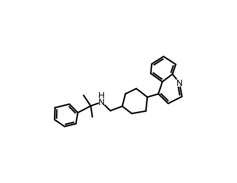 CC(C)(NCC1CCC(c2ccnc3ccccc23)CC1)c1ccccc1